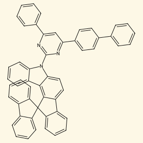 c1ccc(-c2ccc(-c3cc(-c4ccccc4)nc(-n4c5ccccc5c5c6c(ccc54)-c4ccccc4C64c5ccccc5-c5ccccc54)n3)cc2)cc1